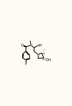 CCCC(CN1C[C@@H](O)[C@H]1C)N(C)C(=O)c1ccc(F)cc1